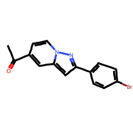 CC(=O)c1ccn2nc(-c3ccc(Br)cc3)cc2c1